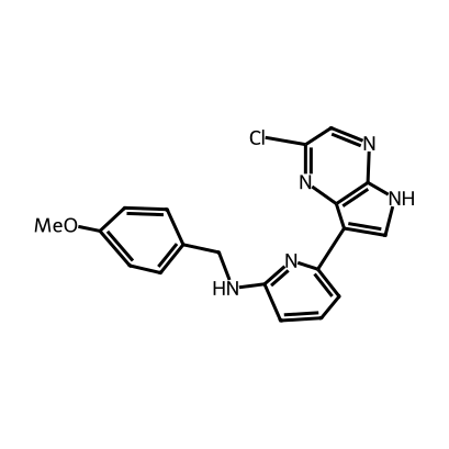 COc1ccc(CNc2cccc(-c3c[nH]c4ncc(Cl)nc34)n2)cc1